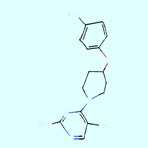 COc1ccc(OC2CCN(c3nc(OC)ncc3C#N)CC2)cc1